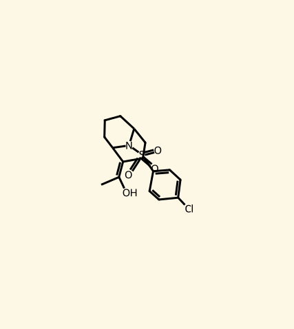 CC(O)=C1C(=O)CC2CCCC1N2S(=O)(=O)c1ccc(Cl)cc1